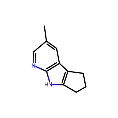 Cc1cnc2[nH]c3c(c2c1)CCC3